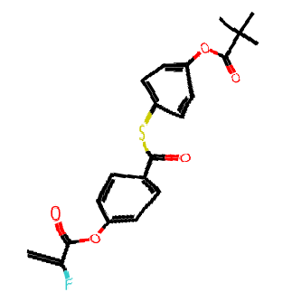 C=C(F)C(=O)Oc1ccc(C(=O)Sc2ccc(OC(=O)C(C)(C)C)cc2)cc1